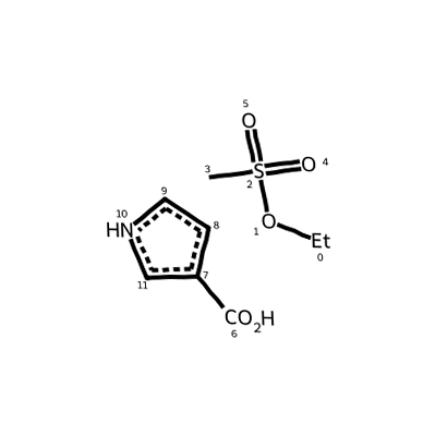 CCOS(C)(=O)=O.O=C(O)c1cc[nH]c1